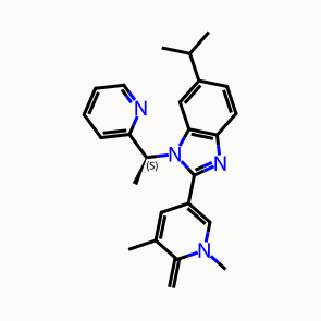 C=C1C(C)=CC(c2nc3ccc(C(C)C)cc3n2[C@@H](C)c2ccccn2)=CN1C